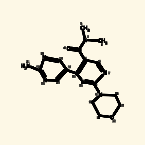 CN(C)C(=O)c1cnc(N2CCOCC2)nc1-c1cnc(N)nc1